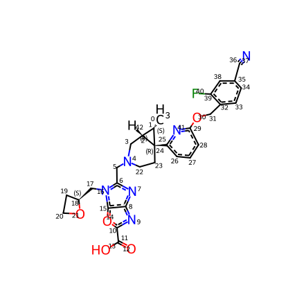 C[C@H]1[C@H]2CN(Cc3nc4nc(C(=O)O)oc4n3C[C@@H]3CCO3)CC[C@]21c1cccc(OCc2ccc(C#N)cc2F)n1